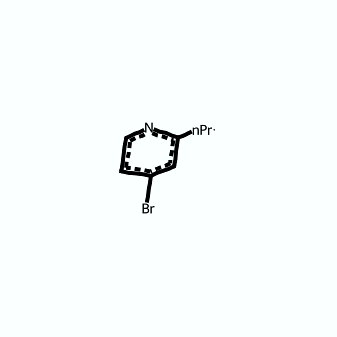 CC[CH]c1cc(Br)ccn1